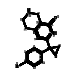 O=c1[nH]c(C2(c3ccc(Br)cc3)CC2)nc2c1CNCC2